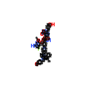 CCOc1nc2[nH]cc(F)c2cc1Oc1cc(N2CCC3(CC2)CC(N2[C@@H]4C[C@H]([C@H]2c2ccccc2C(C)C)N(Cc2ccc(OC)cc2)C4)C3)ccc1C(=O)NS(=O)(=O)c1cnc(NCC2CCC(C)(O)CC2)c([N+](=O)[O-])c1